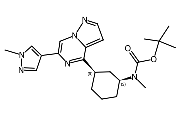 CN(C(=O)OC(C)(C)C)[C@H]1CCC[C@@H](c2nc(-c3cnn(C)c3)cn3nccc23)C1